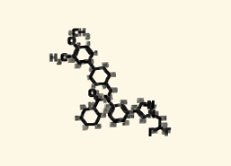 COc1ccc(C2CCC(CN(C(=O)C3CCCCC3)c3cccc(-c4cnn(CC(F)F)c4)c3)CC2)cc1C